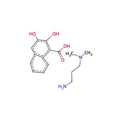 CN(C)CCCN.O=C(O)c1c(O)c(O)cc2ccccc12